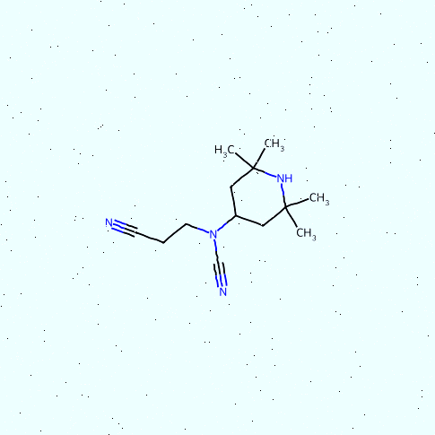 CC1(C)CC(N(C#N)CCC#N)CC(C)(C)N1